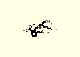 C=CCC12C=CC(C1)C(C(=O)O)C2C(=O)NCC(CC)CCCC